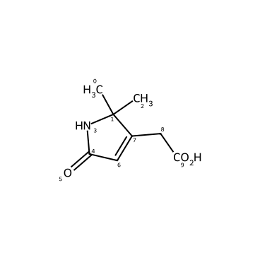 CC1(C)NC(=O)C=C1CC(=O)O